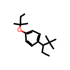 CCC(c1ccc(OC(C)(C)CC)cc1)C(C)(C)C